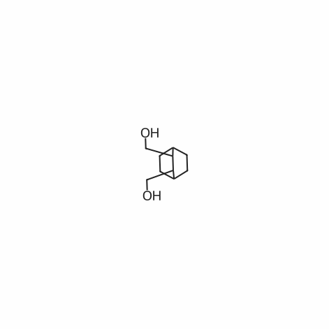 OCC1C2CCC(CC2)C1CO